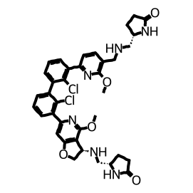 COc1nc(-c2cccc(-c3cccc(-c4cc5c(c(OC)n4)[C@H](NC[C@@H]4CCC(=O)N4)CO5)c3Cl)c2Cl)ccc1CNC[C@@H]1CCC(=O)N1